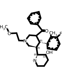 COCCN1CC(C(=O)c2ccccc2)[C@H](c2cccc(F)c2C)[C@@H]([C@H]2[N]CCC[C@@H]2O)C1